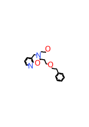 O=CCN(Cc1cccnc1)C(=O)CCOCCc1ccccc1